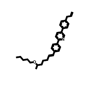 C=CCc1ccc(-c2ccc(-c3ccc(/C=C/CCCC(C)OCCCCC)cc3)nc2)cc1